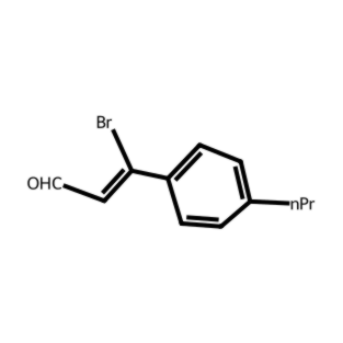 CCCc1ccc(/C(Br)=C/C=O)cc1